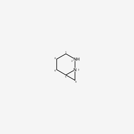 C1CNN2CC2C1